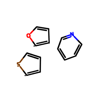 [c]1ccco1.[c]1cccs1.c1ccncc1